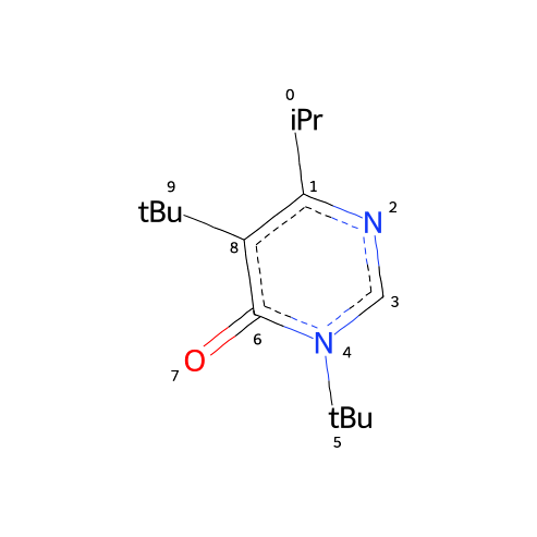 CC(C)c1ncn(C(C)(C)C)c(=O)c1C(C)(C)C